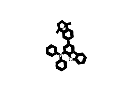 CC12CCC(C)(O1)c1cc(-c3cc(N(c4ccccc4)c4ccccc4)c4oc5ccccc5c4c3)ccc12